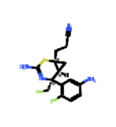 N#CCC[C@@]12C[C@H]1[C@@](CF)(c1cc(N)ccc1F)N=C(N)S2